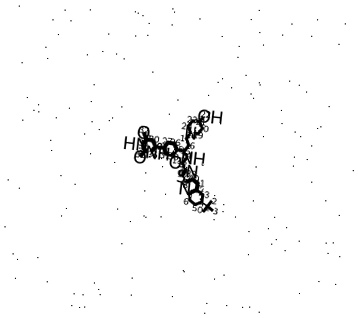 CC(C)(C)[C@H]1CCc2nc3sc(C(=O)NC(CCN4CCC(O)CC4)c4ccc(-c5cc(=O)[nH]c(=O)[nH]5)cc4)nc3cc2C1